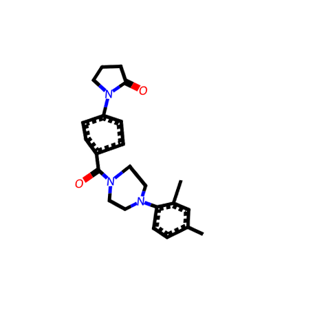 Cc1ccc(N2CCN(C(=O)c3ccc(N4CCCC4=O)cc3)CC2)c(C)c1